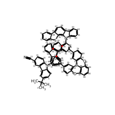 CC(C)(C)c1ccc2c(c1)c1cc(C#N)ccc1n2-c1cc(-c2ccccc2)cc(-c2ccc3c(c2)B2c4cc(-c5cc(-n6c7ccccc7c7ccccc76)cc(-n6c7ccccc7c7ccc8c9ccccc9sc8c76)n5)ccc4Oc4cccc(c42)O3)n1